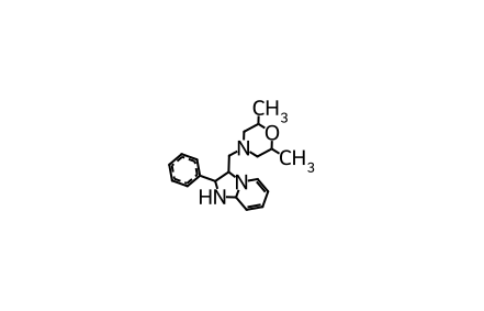 CC1CN(CC2C(c3ccccc3)NC3C=CC=CN32)CC(C)O1